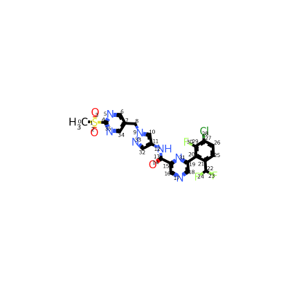 CS(=O)(=O)c1ncc(Cn2cc(NC(=O)c3cncc(-c4c(C(F)F)ccc(Cl)c4F)n3)cn2)cn1